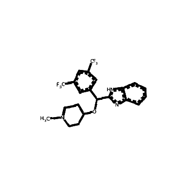 CN1CCC(OC(c2cc(C(F)(F)F)cc(C(F)(F)F)c2)c2nc3ccccc3[nH]2)CC1